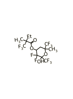 CCC(C)(C(=O)OC1CC(C)(C(F)(F)F)OC(O)(C(F)(F)F)C1(F)F)C(F)(F)F